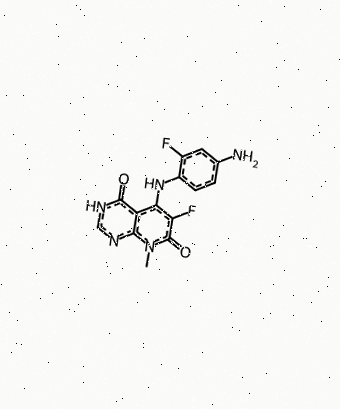 Cn1c(=O)c(F)c(Nc2ccc(N)cc2F)c2c(=O)[nH]cnc21